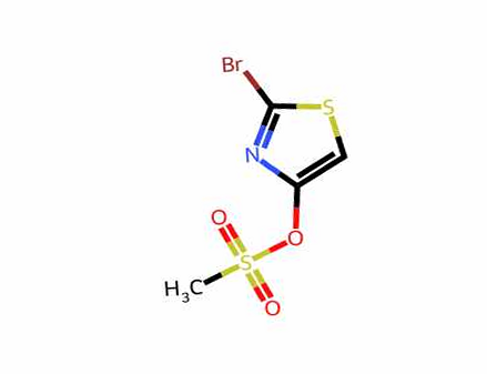 CS(=O)(=O)Oc1csc(Br)n1